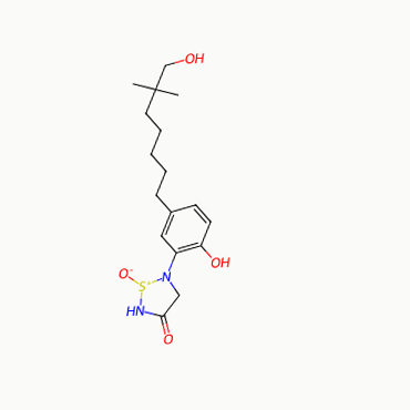 CC(C)(CO)CCCCCc1ccc(O)c(N2CC(=O)N[S+]2[O-])c1